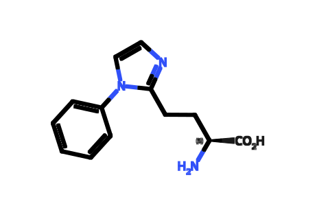 N[C@@H](CCc1nccn1-c1ccccc1)C(=O)O